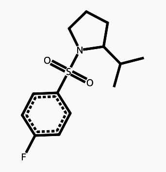 CC(C)C1CCCN1S(=O)(=O)c1ccc(F)cc1